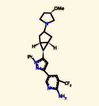 CO[C@H]1CCN(C2C[C@@H]3[C@H](C2)[C@H]3c2cc(-c3cnc(N)c(C(F)(F)F)c3)nn2C(C)C)C1